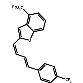 CCOC(=O)c1cccc2oc(/C=C\C=C\c3ccc(C(F)(F)F)cc3)cc12